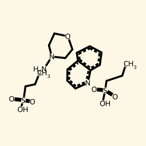 CCCS(=O)(=O)O.CCCS(=O)(=O)O.NN1CCOCC1.c1ccc2ncccc2c1